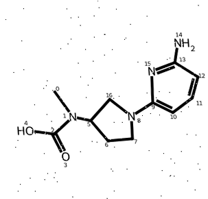 CN(C(=O)O)C1CCN(c2cccc(N)n2)C1